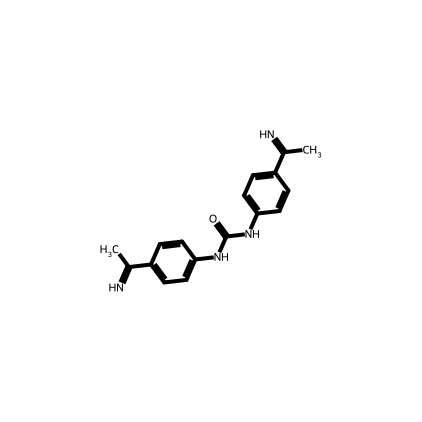 CC(=N)c1ccc(NC(=O)Nc2ccc(C(C)=N)cc2)cc1